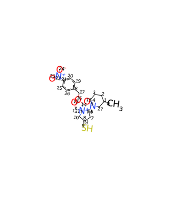 CC1CCCN([C@@H]2C[C@H](S)C[N+]2(C=O)C(=O)OCc2ccc([N+](=O)[O-])cc2)C1